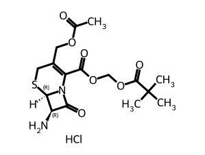 CC(=O)OCC1=C(C(=O)OCOC(=O)C(C)(C)C)N2C(=O)[C@@H](N)[C@H]2SC1.Cl